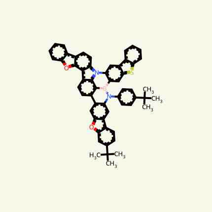 CC(C)(C)c1ccc(N2B3c4cc5sc6ccccc6c5cc4-n4c5ccc6c7ccccc7oc6c5c5ccc(c3c54)-c3cc4oc5cc(C(C)(C)C)ccc5c4cc32)cc1